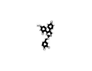 Sc1ccc(-c2nc(OCc3ccc(Cl)c(Cl)c3)ncc2-c2ccc(Cl)cc2)c(Cl)c1